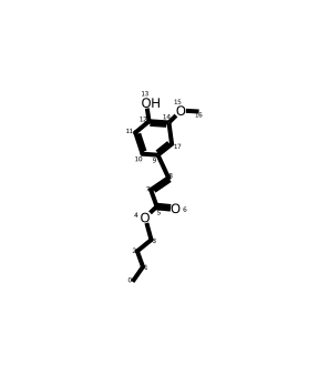 CCCCOC(=O)C=Cc1ccc(O)c(OC)c1